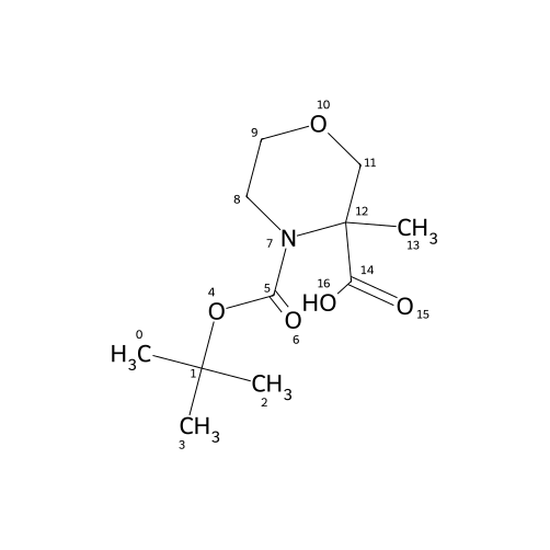 CC(C)(C)OC(=O)N1CCOCC1(C)C(=O)O